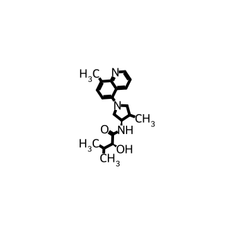 Cc1ccc(N2CC(C)[C@@H](NC(=O)[C@@H](O)C(C)C)C2)c2cccnc12